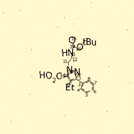 CCc1c(-c2ccccc2)nn(CCNC(=O)OC(C)(C)C)c1C(=O)O